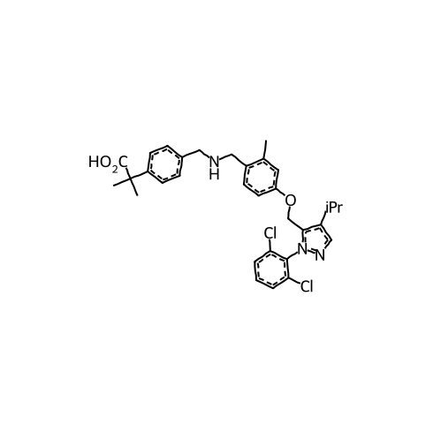 Cc1cc(OCc2c(C(C)C)cnn2-c2c(Cl)cccc2Cl)ccc1CNCc1ccc(C(C)(C)C(=O)O)cc1